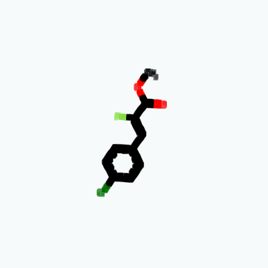 COC(=O)/C(F)=C/c1ccc(Cl)cc1